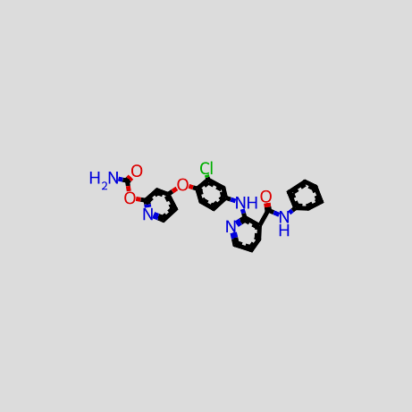 NC(=O)Oc1cc(Oc2ccc(Nc3ncccc3C(=O)Nc3ccccc3)cc2Cl)ccn1